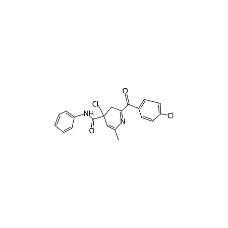 CC1=CC(Cl)(C(=O)Nc2ccccc2)CC(C(=O)c2ccc(Cl)cc2)=N1